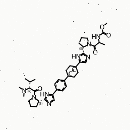 COC(=O)NC(C)C(=O)N1CCC[C@H]1c1ncc(C23CCC(c4ccc(-c5cnc([C@@H]6CCCN6C(=O)[C@@H](C(C)C)N(C)C)[nH]5)cc4)(CC2)CC3)[nH]1